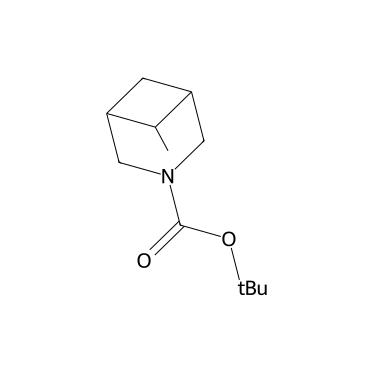 CC1C2CC1CN(C(=O)OC(C)(C)C)C2